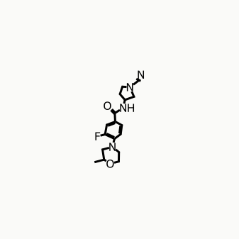 CC1CN(c2ccc(C(=O)NC3CCN(C#N)C3)cc2F)CCO1